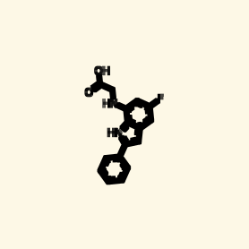 O=C(O)CNc1cc(F)cc2cc(-c3ccccc3)[nH]c12